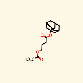 O=C(CCCOC(=O)C(=O)O)OC12CC3CC(CC(C3)C1)C2